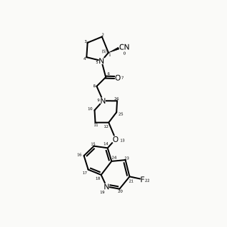 N#C[C@@H]1CCCN1C(=O)CN1CCC(Oc2cccc3ncc(F)cc23)CC1